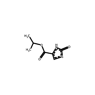 CC(C)OC(=O)c1csc(=O)[nH]1